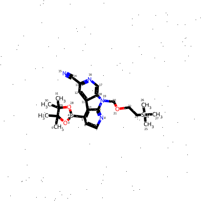 CC1(C)OB(c2ccnc3c2c2cc(C#N)ncc2n3COCC[Si](C)(C)C)OC1(C)C